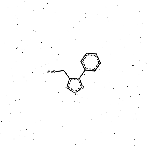 CSCc1[c]noc1-c1ccccc1